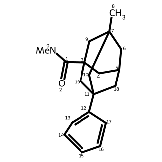 CNC(=O)C12CC3CC(C)(C1)CC(c1ccccc1)(C3)C2